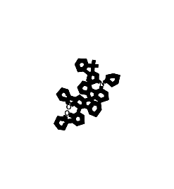 CC1(C)c2ccccc2-c2ccc(N(c3ccccc3)c3cccc4c3-c3ccccc3C43c4ccccc4-c4c3cc3c(oc5ccccc53)c4-c3cccc4c3oc3ccccc34)cc21